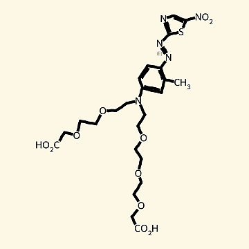 Cc1cc(N(CCOCCOCCOCC(=O)O)CCOCCOCC(=O)O)ccc1/N=N/c1ncc([N+](=O)[O-])s1